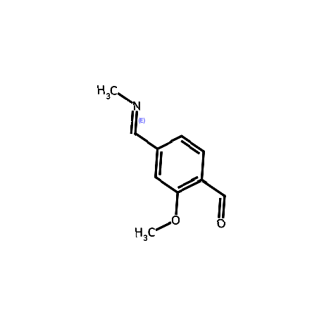 C/N=C/c1ccc(C=O)c(OC)c1